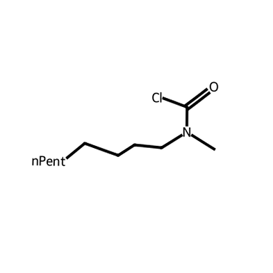 CCCCCCCCCN(C)C(=O)Cl